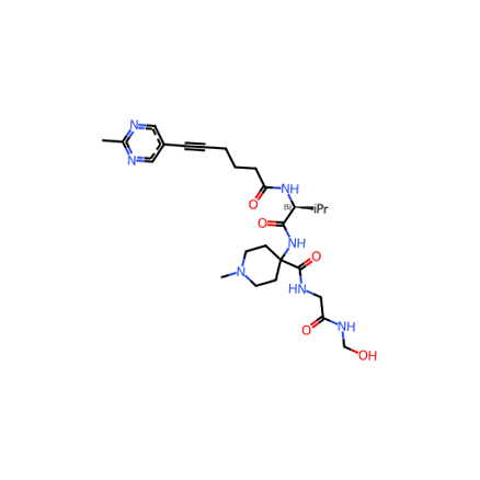 Cc1ncc(C#CCCCC(=O)N[C@H](C(=O)NC2(C(=O)NCC(=O)NCO)CCN(C)CC2)C(C)C)cn1